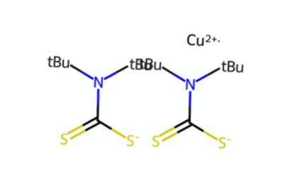 CC(C)(C)N(C(=S)[S-])C(C)(C)C.CC(C)(C)N(C(=S)[S-])C(C)(C)C.[Cu+2]